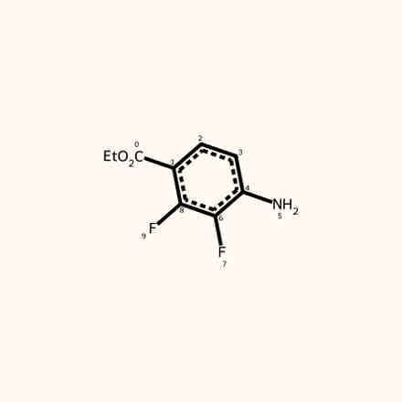 CCOC(=O)c1ccc(N)c(F)c1F